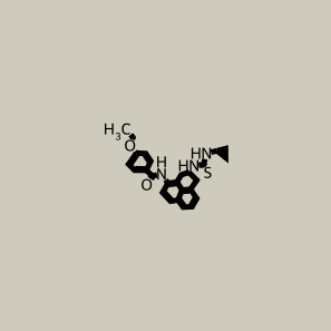 CCOc1ccc(C(=O)Nc2ccc3cccc4c3c2CC(NC(=S)NC2CC2)C4)cc1